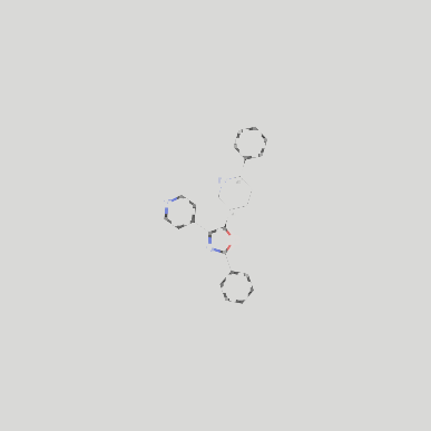 c1ccc(-c2nc(-c3ccncc3)c([C@@H]3CC[C@H](c4ccccc4)NC3)o2)cc1